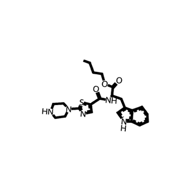 CCCCOC(=O)C(Cc1c[nH]c2ccccc12)NC(=O)c1cnc(N2CCNCC2)s1